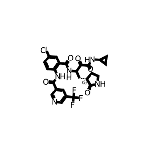 O=C(NC1CC1)C(=O)C(C[C@@H]1CCNC1=O)NC(=O)c1cc(Cl)ccc1NC(=O)c1cncc(C(F)(F)F)c1